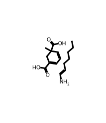 CC1(C(=O)O)C=CC=C(C(=O)O)C1.CCCCCC=CN